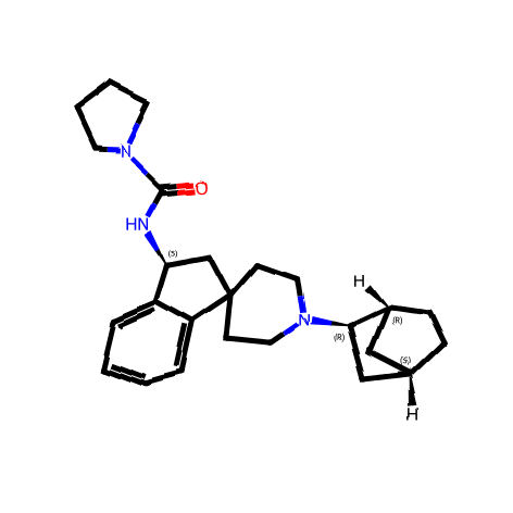 O=C(N[C@H]1CC2(CCN([C@@H]3C[C@H]4CC[C@@H]3C4)CC2)c2ccccc21)N1CCCC1